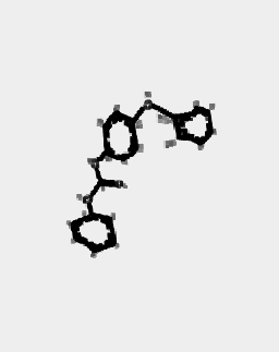 O=C(Oc1ccccc1)Oc1ccc(Oc2ccccc2)cc1